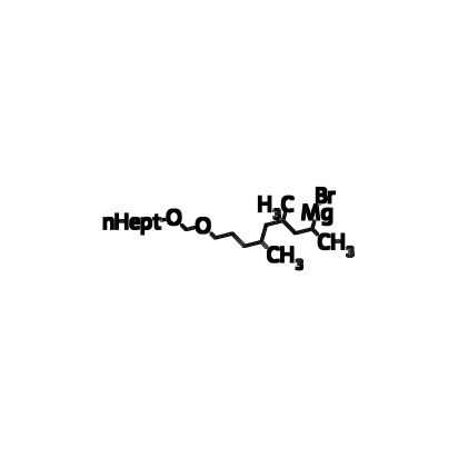 CCCCCCCOCOCCCC(C)CC(C)C[CH](C)[Mg][Br]